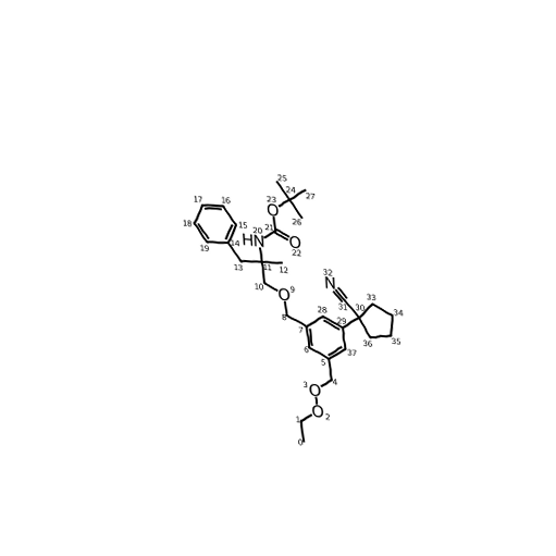 CCOOCc1cc(COCC(C)(Cc2ccccc2)NC(=O)OC(C)(C)C)cc(C2(C#N)CCCC2)c1